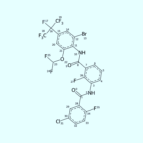 O=C(Nc1cccc(C(=O)Nc2c(Br)cc(C(F)(C(F)(F)F)C(F)(F)F)cc2OC(F)F)c1F)c1cc(Cl)ccc1F